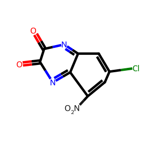 O=C1N=c2cc(Cl)cc([N+](=O)[O-])c2=NC1=O